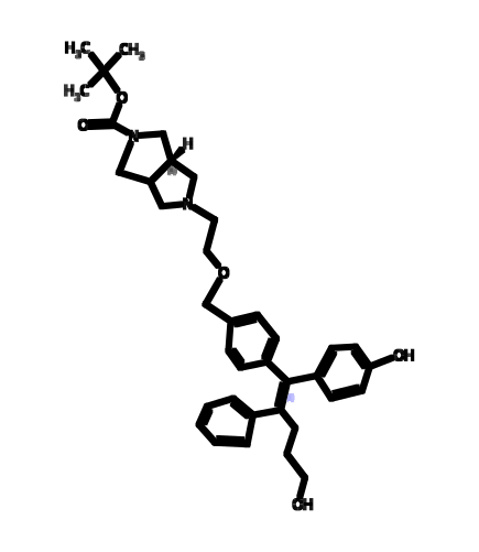 CC(C)(C)OC(=O)N1CC2CN(CCOCc3ccc(/C(=C(/CCCO)c4ccccc4)c4ccc(O)cc4)cc3)C[C@H]2C1